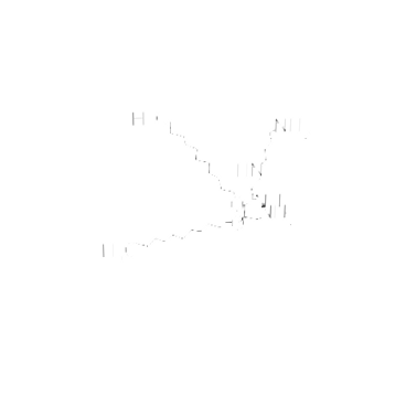 CCCCCCCCCCCCOC(CN)C(OCCCCCCCCCCCC)C(N)CCNCCCCN